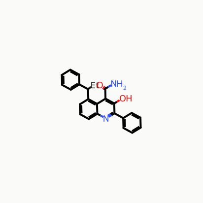 CCC(c1ccccc1)c1cccc2nc(-c3ccccc3)c(O)c(C(N)=O)c12